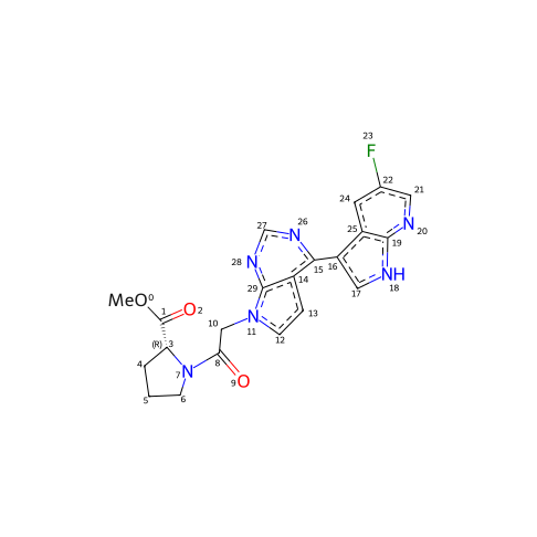 COC(=O)[C@H]1CCCN1C(=O)Cn1ccc2c(-c3c[nH]c4ncc(F)cc34)ncnc21